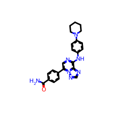 NC(=O)c1ccc(-c2cnc(Nc3ccc(N4CCCCC4)cc3)c3ncnn23)cc1